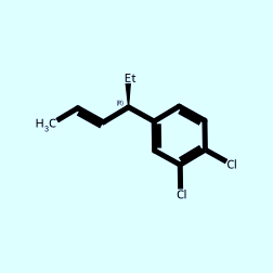 CC=C[C@@H](CC)c1ccc(Cl)c(Cl)c1